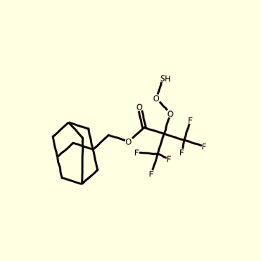 O=C(OCC12CC3CC(CC(C3)C1)C2)C(OOS)(C(F)(F)F)C(F)(F)F